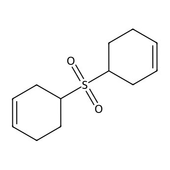 O=S(=O)(C1CC=CCC1)C1CC=CCC1